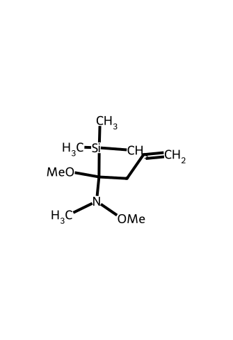 C=CCC(OC)(N(C)OC)[Si](C)(C)C